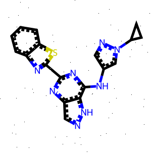 c1ccc2sc(-c3nc(Nc4cnn(C5CC5)c4)c4[nH]ncc4n3)nc2c1